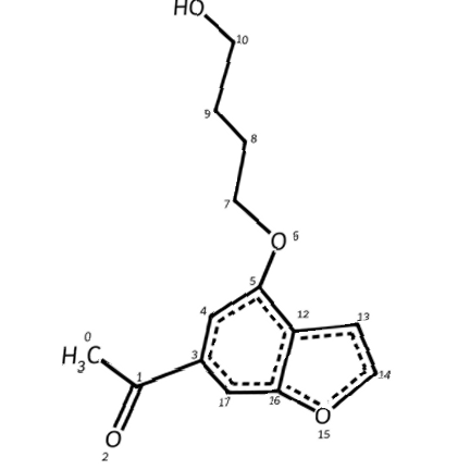 CC(=O)c1cc(OCCCCO)c2ccoc2c1